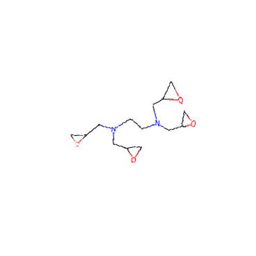 C1OC1CN(CCN(CC1CO1)CC1CO1)CC1CO1